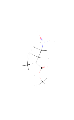 [2H]C([2H])([2H])OC(=O)[C@@H](C([2H])([2H])[2H])C([2H])([2H])C(C)(C)[N+](=O)[O-]